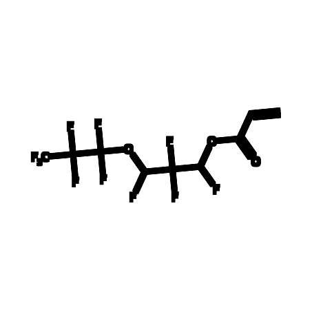 C=CC(=O)OC(F)C(F)(F)C(F)OC(F)(F)C(F)(F)C(F)(F)F